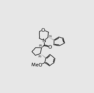 COc1ccccc1[C@@H]1CCC[C@H]1C(=O)N1CCOC[C@@H]1c1ccccc1